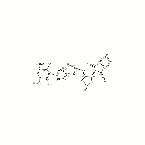 COc1cc(OC)c(Cl)c(-c2ccc3nc(N[C@@H]4CC(C)C[C@@H]4N4C(=O)c5ccccc5C4=O)ncc3c2)c1Cl